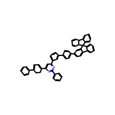 C1=CC2c3ccccc3C3(c4ccccc4-c4ccc(-c5ccc(-c6cccc(-c7cc(C8=CC=C(c9ccccc9)CC8)nc(-c8ccccc8)n7)c6)cc5)cc43)C2C=C1